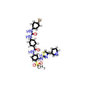 CS(=O)(=O)c1ccc(NC(=O)c2ccc(NC(=O)Nc3ccc(Br)cc3)cc2)cc1Nc1nc(-c2cccnc2)cs1